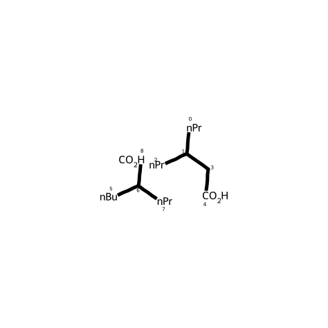 CCCC(CCC)CC(=O)O.CCCCC(CCC)C(=O)O